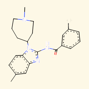 Cc1ccc2c(c1)nc(NC(=O)c1cccc(C(F)(F)F)c1)n2C1CCCN(C)CC1